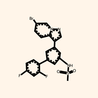 CS(=O)(=O)Nc1cc(-c2ccc(F)cc2F)cc(-c2cnn3cc(Br)ccc23)c1